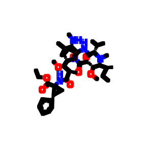 CCOC(=O)[C@]1(NC(=O)[C@H](C)[C@@H](OC)[C@@H]2CCCN2C(=O)C[C@@H](OC)[C@H]([C@@H](C)CC)N(C)[C@H](C(=O)NC(=O)[C@@H](NC)C(C)C)C(C)C)C[C@@H]1c1ccccc1